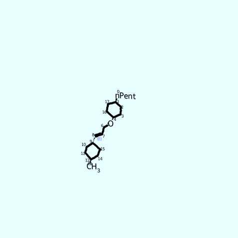 CCCCC[C@H]1CC[C@H](OC/C=C/[C@H]2CC[C@H](C)CC2)CC1